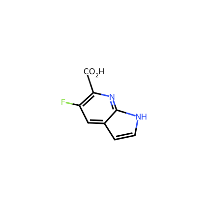 O=C(O)c1nc2[nH]ccc2cc1F